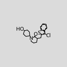 O=C1C(Cc2sc3ccccc3c2Cl)CCCN1C1CCC(O)CC1